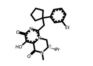 CCc1cccc(C2(Cc3nc(=O)c(O)c4n3C[C@H](C(C)C)N(C)C4=O)CCCC2)c1